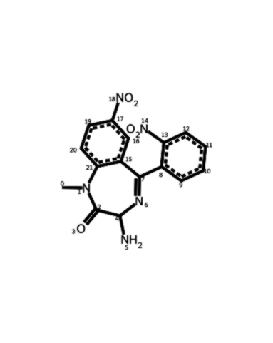 CN1C(=O)C(N)N=C(c2ccccc2[N+](=O)[O-])c2cc([N+](=O)[O-])ccc21